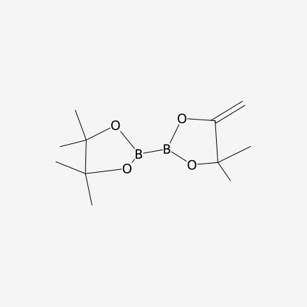 C=C1OB(B2OC(C)(C)C(C)(C)O2)OC1(C)C